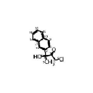 CC(O)(C(=O)CCl)c1ccc2ccccc2c1